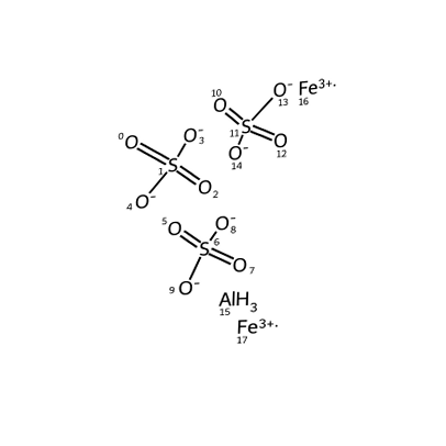 O=S(=O)([O-])[O-].O=S(=O)([O-])[O-].O=S(=O)([O-])[O-].[AlH3].[Fe+3].[Fe+3]